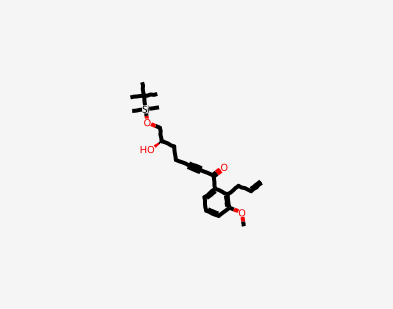 C=CCc1c(OC)cccc1C(=O)C#CCC[C@@H](O)CO[Si](C)(C)C(C)(C)C